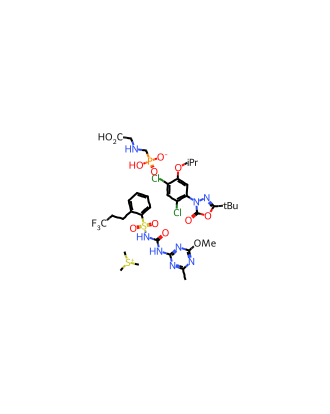 CC(C)Oc1cc(-n2nc(C(C)(C)C)oc2=O)c(Cl)cc1Cl.COc1nc(C)nc(NC(=O)NS(=O)(=O)c2ccccc2CCC(F)(F)F)n1.C[S+](C)C.O=C(O)CNCP(=O)([O-])O